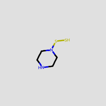 SSN1CCNCC1